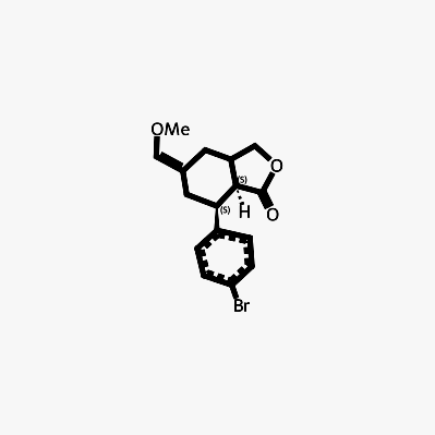 COC=C1CC2COC(=O)[C@H]2[C@@H](c2ccc(Br)cc2)C1